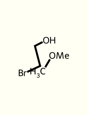 COC.OCCBr